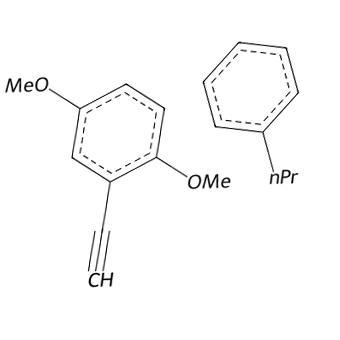 C#Cc1cc(OC)ccc1OC.CCCc1ccccc1